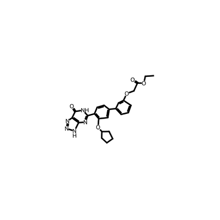 CCOC(=O)COc1cccc(-c2ccc(-c3nc4[nH]nnc4c(=O)[nH]3)c(OC3CCCC3)c2)c1